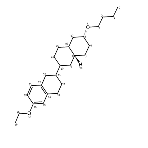 CCCCO[C@@H]1CC[C@@H]2CC(C3CCc4cc(OCC)ccc4C3)CCC2C1